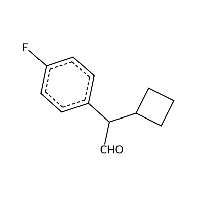 O=CC(c1ccc(F)cc1)C1CCC1